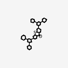 O=c1c2ccc(-c3cc(-c4ccccc4)cc(-c4ccccc4)c3)cc2sc2cc(-c3cc(-c4ccccc4)cc(-c4ccccc4)c3)ccc12